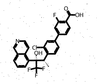 C[C@@H](c1ccc(-c2ccc(C(=O)O)c(F)c2)cc1Cl)[C@](O)(c1cccc2cnccc12)C(F)(F)F